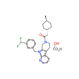 C[C@H]1CC[C@H](CC(=O)N2CCc3c(n(Cc4cccc(C(F)F)c4)c4ncccc34)C2)CC1.O=C(O)O